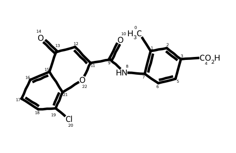 Cc1cc(C(=O)O)ccc1NC(=O)c1cc(=O)c2cccc(Cl)c2o1